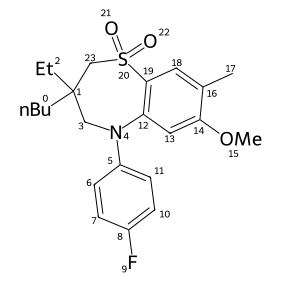 CCCCC1(CC)CN(c2ccc(F)cc2)c2cc(OC)c(C)cc2S(=O)(=O)C1